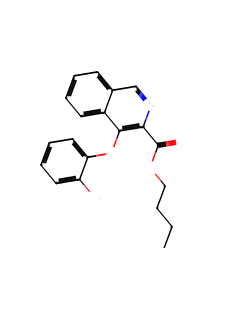 CCCCOC(=O)c1ncc2ccccc2c1Oc1ccccc1O